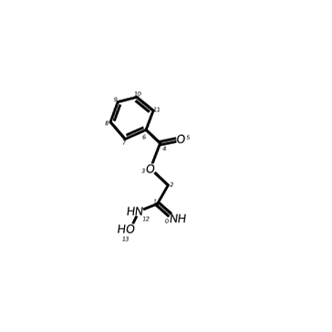 N=C(COC(=O)c1ccccc1)NO